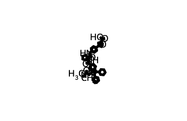 CN(C)C(=O)Cn1c(-c2ccccc2)c(C2CCCCC2)c2ccc(C(=O)NC3(C(=O)Nc4ccc(-c5coc(C(=O)O)c5)cc4)CCCC3)cc21